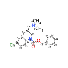 CN(C)CC1Cc2cc(Cl)ccc2N(C(=O)OCc2ccccc2)C1